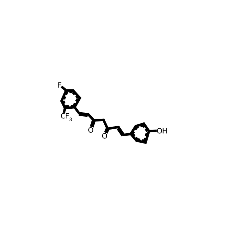 O=C(C=Cc1ccc(O)cc1)CC(=O)C=Cc1ccc(F)cc1C(F)(F)F